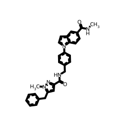 CNC(=O)c1ccc2c(ccn2-c2ccc(CNC(=O)c3cc(Cc4ccccc4)n(C)n3)cc2)c1